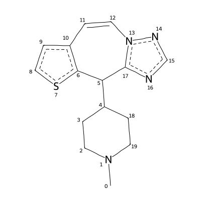 CN1CCC(C2c3sccc3C=Cn3ncnc32)CC1